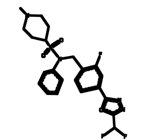 CN1CCC(S(=O)(=O)N(Cc2ccc(-c3nnc(C(F)F)o3)cc2F)c2ccccc2)CC1